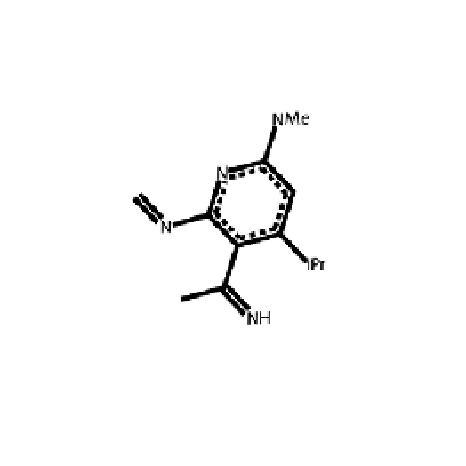 C=Nc1nc(NC)cc(C(C)C)c1C(C)=N